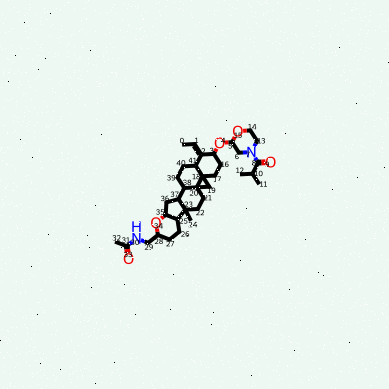 C/C=C1/C(OC2CN(C(=O)C(C)C)CCO2)CCC23CC24CCC2(C)C5CCC(CNC(C)=O)OC5CC2C4CCC13